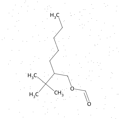 CCCCCC(COC=O)C(C)(C)C